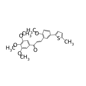 COc1ccc(-c2ccc(C)s2)cc1C=CC(=O)c1cc(OC)c(OC)c(OC)c1